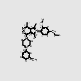 CCOc1ccc(-n2c(C)c3c(C)nnc(N4CCN(c5cccc(O)c5)CC4)c3c2C)c(OC)c1